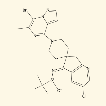 Cc1nc(N2CCC3(CC2)Cc2ncc(Cl)cc2C3=N[S+]([O-])C(C)(C)C)c2ccnn2c1Br